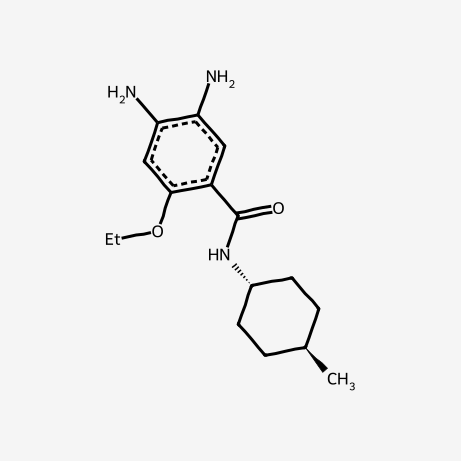 CCOc1cc(N)c(N)cc1C(=O)N[C@H]1CC[C@H](C)CC1